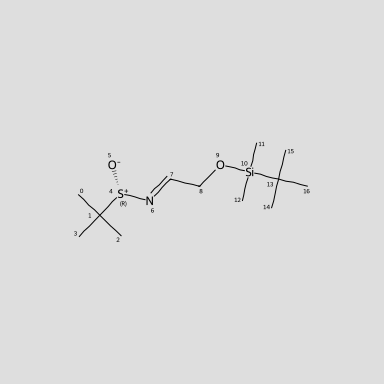 CC(C)(C)[S@+]([O-])N=CCO[Si](C)(C)C(C)(C)C